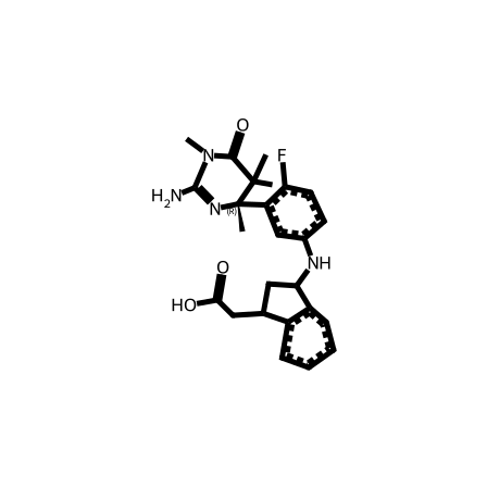 CN1C(=O)C(C)(C)[C@](C)(c2cc(NC3CC(CC(=O)O)c4ccccc43)ccc2F)N=C1N